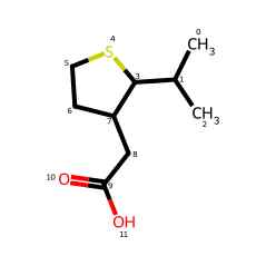 CC(C)C1SCCC1CC(=O)O